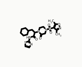 Cc1noc(C)c1S(=O)(=O)N1CCN(C(CC2CCCCC2)C(=O)Nc2nccs2)C(=O)C1